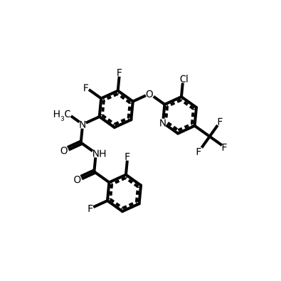 CN(C(=O)NC(=O)c1c(F)cccc1F)c1ccc(Oc2ncc(C(F)(F)F)cc2Cl)c(F)c1F